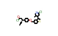 CC#C[C@@H](CC(=O)Cl)c1ccc(OCc2ccc3scc(-c4cc(Cl)ncc4C)c3c2)cc1